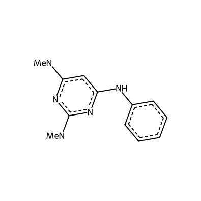 CNc1cc(Nc2ccccc2)nc(NC)n1